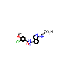 CC(C)Oc1ccc(-c2nc(-c3cccc4c(NCCC(=O)O)nccc34)no2)cc1Cl